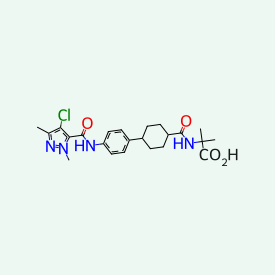 Cc1nn(C)c(C(=O)Nc2ccc(C3CCC(C(=O)NC(C)(C)C(=O)O)CC3)cc2)c1Cl